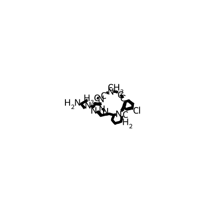 C=C1c2cc(Cl)ccc2CCCN(C)CCN(C)c2cc(N3CC(N)C3)nc3cc(nn23)C2CCCCN12